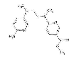 COC(=O)c1ccc(N(C)CCN(C)c2ccc(N)nc2)nc1